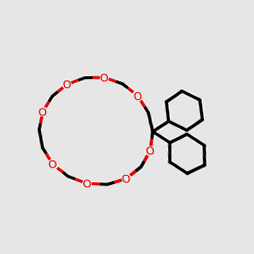 C1CCC(C2(C3CCCCC3)COCOCOCOCCOCOCOCO2)CC1